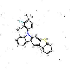 Cc1ccc(-n2c3ccccc3c3cc4c(cc32)sc2ccccc24)c(C#N)c1F